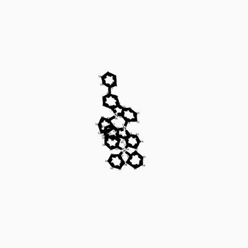 c1ccc(-c2ccc3c(c2)c2cccc(-n4c5ccccc5c5c([Si](c6ccccc6)(c6ccccc6)c6ccccc6)cccc54)c2n3-c2ccccc2)cc1